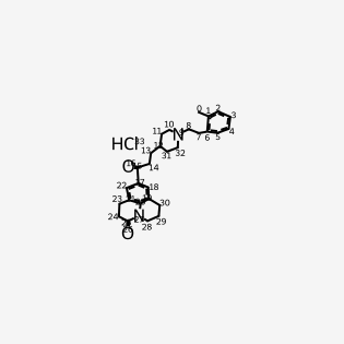 Cc1ccccc1CCN1CCC(CCC(=O)c2cc3c4c(c2)CCC(=O)N4CCC3)CC1.Cl